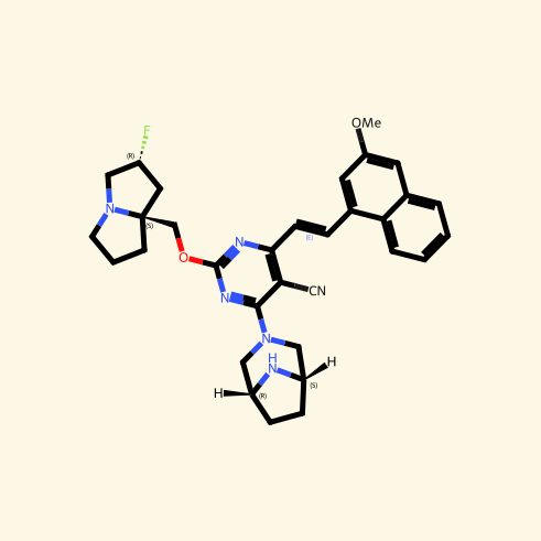 COc1cc(/C=C/c2nc(OC[C@@]34CCCN3C[C@H](F)C4)nc(N3C[C@H]4CC[C@@H](C3)N4)c2C#N)c2ccccc2c1